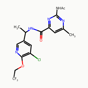 CC(=O)Nc1nc(C)cc(C(=O)NC(C)c2cnc(OCC(F)(F)F)c(Cl)c2)n1